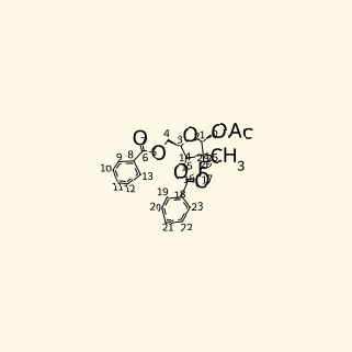 CC(=O)O[C@@H]1O[C@H](COC(=O)c2ccccc2)C(OC(=O)c2ccccc2)C1(C)F